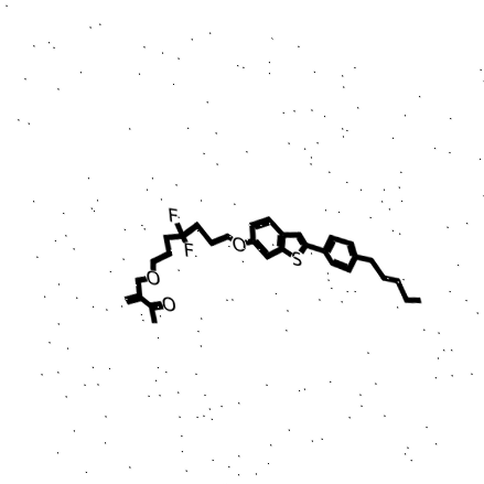 C=C(COCCCC(F)(F)CCCOc1ccc2cc(-c3ccc(CCCCC)cc3)sc2c1)C(C)=O